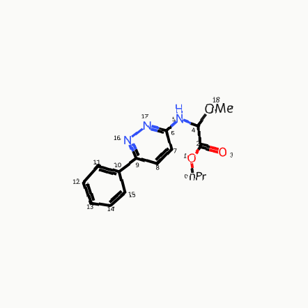 CCCOC(=O)C(Nc1ccc(-c2ccccc2)nn1)OC